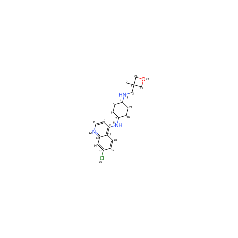 CC1(CNC2CCC(Nc3ccnc4cc(Cl)ccc34)CC2)COC1